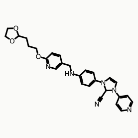 N#CC1N(c2ccncc2)C=CN1c1ccc(NCc2ccc(OCCCC3OCCO3)nc2)cc1